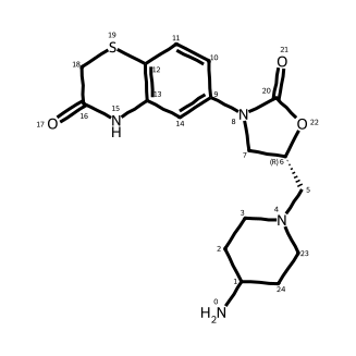 NC1CCN(C[C@@H]2CN(c3ccc4c(c3)NC(=O)CS4)C(=O)O2)CC1